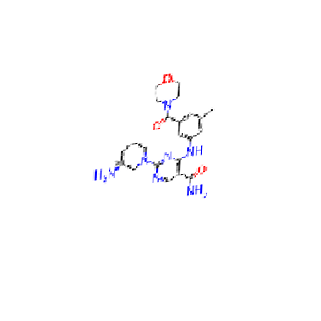 Cc1cc(Nc2nc(N3CCC[C@H](N)C3)ncc2C(N)=O)cc(C(=O)N2CCOCC2)c1